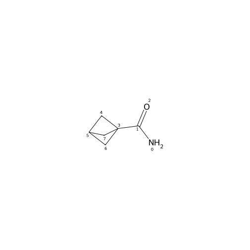 NC(=O)C12CC(C1)C2